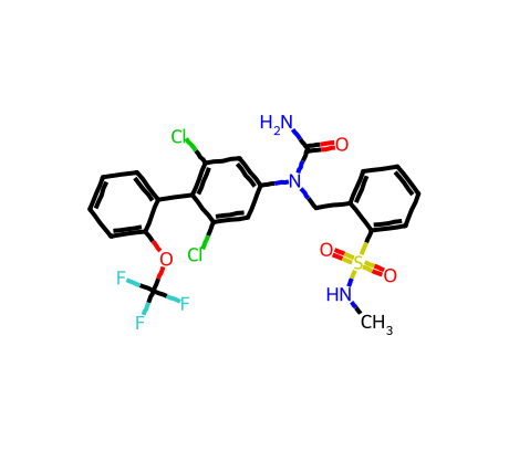 CNS(=O)(=O)c1ccccc1CN(C(N)=O)c1cc(Cl)c(-c2ccccc2OC(F)(F)F)c(Cl)c1